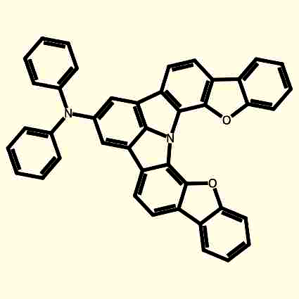 c1ccc(N(c2ccccc2)c2cc3c4ccc5c6ccccc6oc5c4n4c3c(c2)c2ccc3c5ccccc5oc3c24)cc1